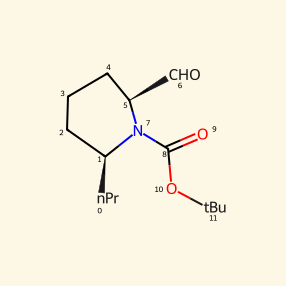 CCC[C@H]1CCC[C@@H](C=O)N1C(=O)OC(C)(C)C